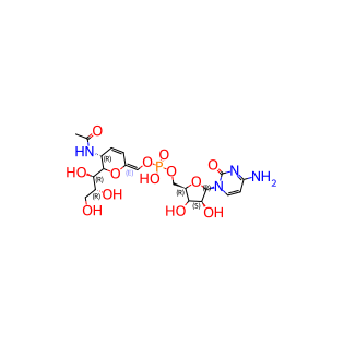 CC(=O)N[C@@H]1C=C/C(=C\OP(=O)(O)OC[C@H]2O[C@@H](n3ccc(N)nc3=O)[C@@H](O)C2O)OC1[C@H](O)[C@H](O)CO